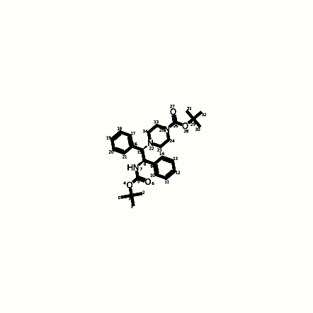 CC(C)(C)OC(=O)N[C@H](c1ccccc1)[C@H](c1ccccc1)N1CCN(C(=O)OC(C)(C)C)CC1